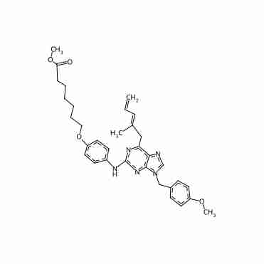 C=C/C=C(\C)Cc1nc(Nc2ccc(OCCCCCCC(=O)OC)cc2)nc2c1ncn2Cc1ccc(OC)cc1